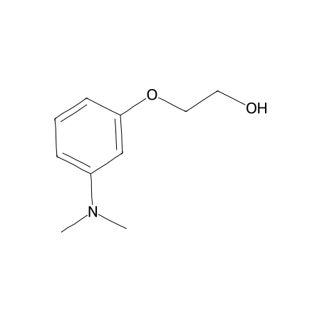 CN(C)c1cccc(OCCO)c1